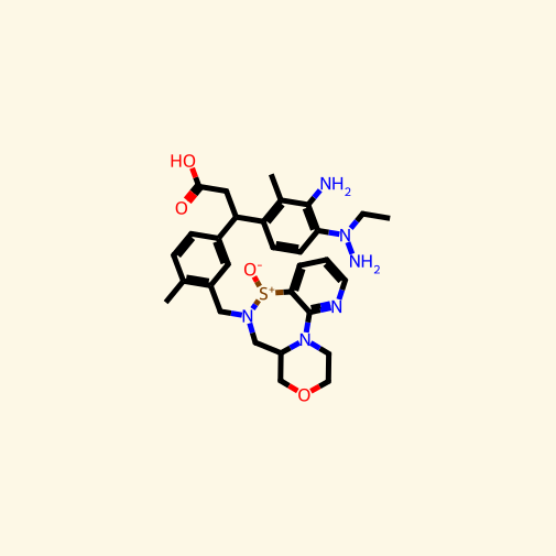 CCN(N)c1ccc(C(CC(=O)O)c2ccc(C)c(CN3CC4COCCN4c4ncccc4[S+]3[O-])c2)c(C)c1N